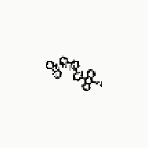 N#Cc1c2ccccc2c(-c2cccc(-c3cccc(-c4cccc(N5c6ccccc6C6N=CC=CC65)n4)n3)n2)c2ccccc12